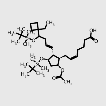 CCC1(C(C/C=C/[C@@H]2[C@@H](C/C=C\CCCC(=O)O)[C@@H](OC(C)=O)C[C@H]2O[Si](C)(C)C(C)(C)C)O[Si](C)(C)C(C)(C)C)CCC1